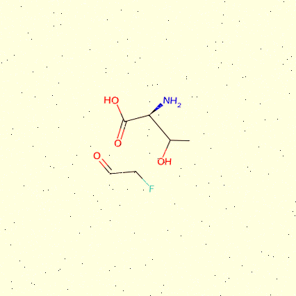 CC(O)[C@H](N)C(=O)O.O=CCF